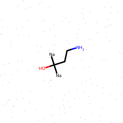 NCC[C](O)([Na])[Na]